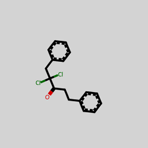 O=C(CCc1ccccc1)C(Cl)(Cl)Cc1ccccc1